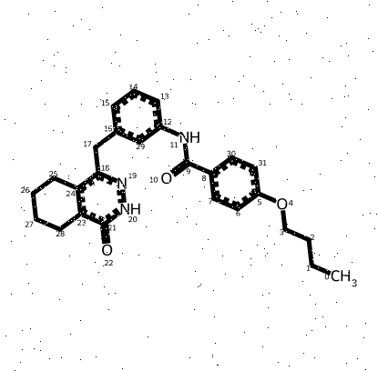 CCCCOc1ccc(C(=O)Nc2cccc(Cc3n[nH]c(=O)c4c3CCCC4)c2)cc1